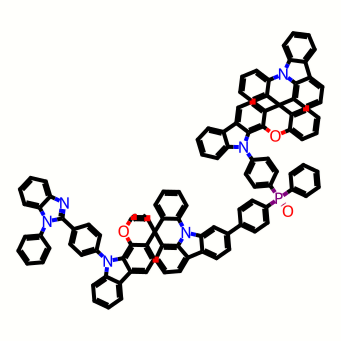 O=P(c1ccccc1)(c1ccc(-c2ccc3c4cccc5c4n(c3c2)-c2ccccc2C52c3ccccc3Oc3c2ccc2c4ccccc4n(-c4ccc(-c5nc6ccccc6n5-c5ccccc5)cc4)c32)cc1)c1ccc(-n2c3ccccc3c3ccc4c(c32)Oc2ccccc2C42c3ccccc3-n3c4ccccc4c4cccc2c43)cc1